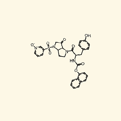 O=C(NC(Cc1ccc(O)cc1)C(=O)N1CCC2C1C(=O)CN2S(=O)(=O)c1ccc[n+]([O-])c1)Oc1cccc2ccccc12